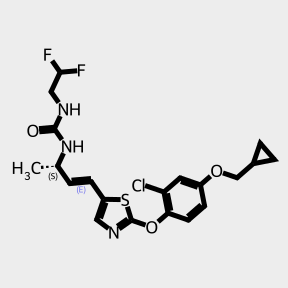 C[C@@H](/C=C/c1cnc(Oc2ccc(OCC3CC3)cc2Cl)s1)NC(=O)NCC(F)F